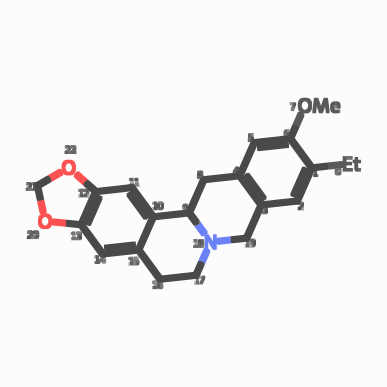 CCc1cc2c(cc1OC)CC1c3cc4c(cc3CCN1C2)OCO4